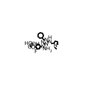 CCN1CCCC1CNc1nc(C2CCCCCC2)nc(N(N)c2ccc(OP(=O)(O)O)c(F)c2)n1